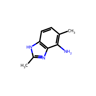 Cc1nc2c(N)c(C)ccc2[nH]1